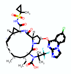 CC[C@@H]1C[C@H](C)CC/C=C\[C@@H]2C[C@@]2(C(=O)NS(=O)(=O)C2(C)CC2)NC(=O)[C@@H]2C[C@@H](Oc3nc4nccn4c4ccc(Cl)cc34)CN2C(=O)[C@H]1N(C(=O)O)C(C)(C)C(F)(F)F